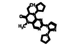 CCC1C(=O)N(C)c2cnc(-n3ccnc3N3CCCC3)nc2N1C1CCCC1